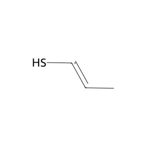 C/C=[C]/S